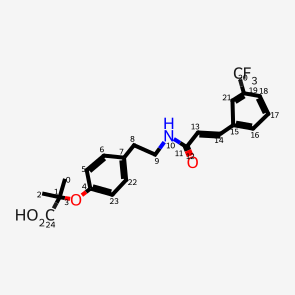 CC(C)(Oc1ccc(CCNC(=O)/C=C/c2cccc(C(F)(F)F)c2)cc1)C(=O)O